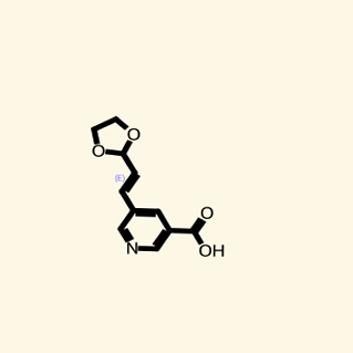 O=C(O)c1cncc(/C=C/C2OCCO2)c1